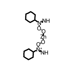 N=[N+](O[O][Zn][O]O[N+](=N)C1CCCCC1)C1CCCCC1